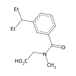 CCC(CC)c1cccc(C(=O)N(C)CC(=O)O)c1